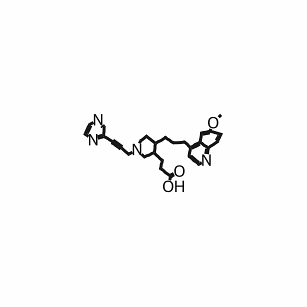 COc1ccc2nccc(CCCC3CCN(CC#Cc4cnccn4)CC3CCC(=O)O)c2c1